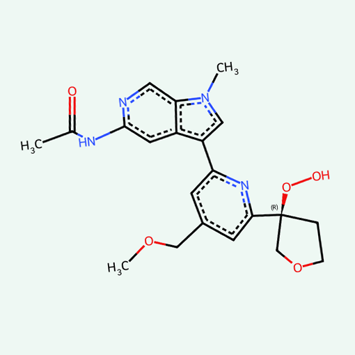 COCc1cc(-c2cn(C)c3cnc(NC(C)=O)cc23)nc([C@]2(OO)CCOC2)c1